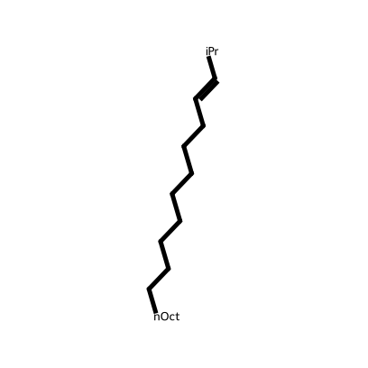 CCCCCCCCCCCCCCCCC=CC(C)C